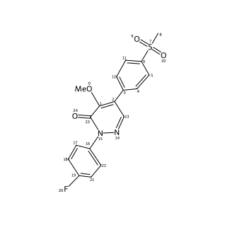 COc1c(-c2ccc(S(C)(=O)=O)cc2)cnn(-c2ccc(F)cc2)c1=O